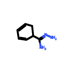 NN=C(N)C1C=CC=CC1